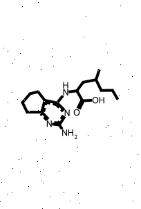 CCCC(C)CC(Nc1nc(N)nc2c1CCCC2)C(=O)O